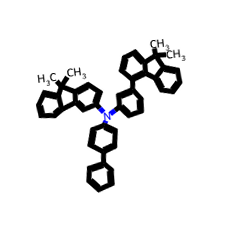 CC1(C)c2ccccc2-c2cc(N(c3ccc(-c4ccccc4)cc3)c3cccc(-c4cccc5c4-c4ccccc4C5(C)C)c3)ccc21